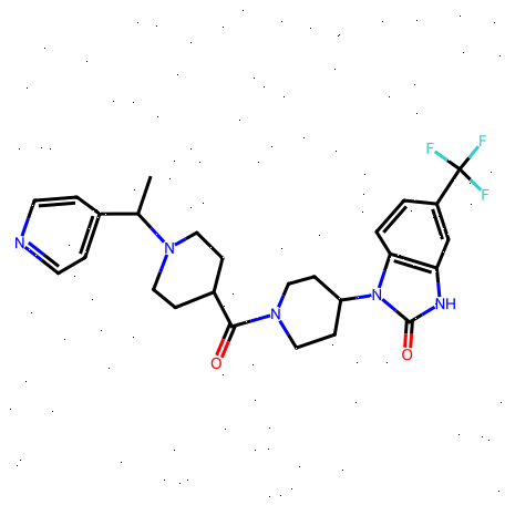 CC(c1ccncc1)N1CCC(C(=O)N2CCC(n3c(=O)[nH]c4cc(C(F)(F)F)ccc43)CC2)CC1